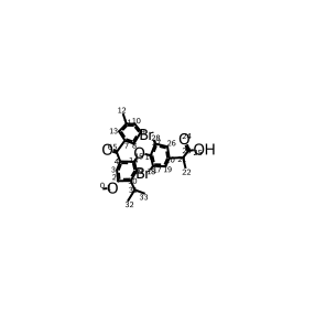 COc1cc(C(=O)c2cccc(C)c2)c(Oc2c(Br)cc(C(C)C(=O)O)cc2Br)cc1C(C)C